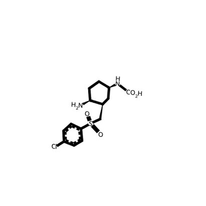 N[C@H]1CC[C@@H](NC(=O)O)C[C@H]1CS(=O)(=O)c1ccc(Cl)cc1